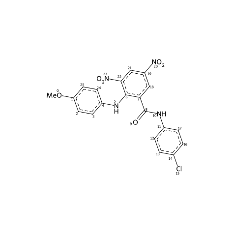 COc1ccc(Nc2c(C(=O)Nc3ccc(Cl)cc3)cc([N+](=O)[O-])cc2[N+](=O)[O-])cc1